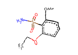 COc1cccc(OCC(F)(F)F)c1S(N)(=O)=O